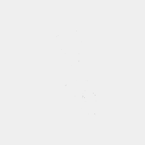 c1cc(-c2ccc3c4ccccc4c4ccccc4c3c2)cc(-c2cn3c(nc4ccccc43)o2)c1